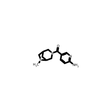 CN1CC2CC1CN(C(=O)c1ccc(N)nc1)C2